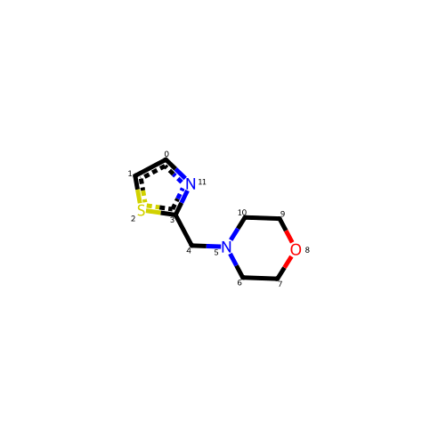 c1csc(CN2CCOCC2)n1